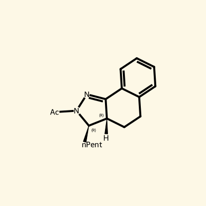 CCCCC[C@@H]1[C@H]2CCc3ccccc3C2=NN1C(C)=O